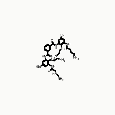 CC(C)(C)c1cc(NC(=O)CCCN)c(SCCN)c(NC(=O)c2cccc(C(=O)Nc3cc(C(C)(C)C)cc(NC(=O)CNCN)c3SCCN)c2)c1